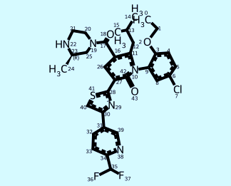 CCOc1ccc(Cl)cc1-n1c(CC(C)C)c(C(=O)N2CCN[C@H](C)C2)cc(-c2nc(-c3ccc(C(F)F)nc3)cs2)c1=O